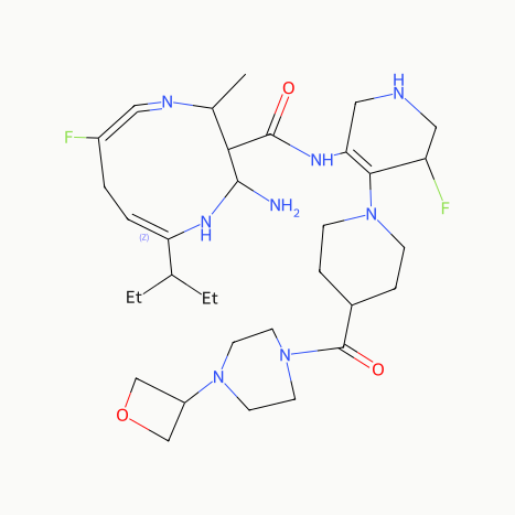 CCC(CC)/C1=C/CC(F)=C=NC(C)C(C(=O)NC2=C(N3CCC(C(=O)N4CCN(C5COC5)CC4)CC3)C(F)CNC2)C(N)N1